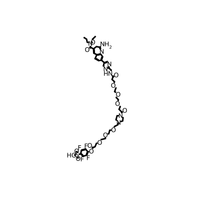 CCCN(OCC)C(=O)C1=Cc2ccc(-c3cnc(CNC(=O)CCOCCOCCOCCC(=O)N4CCN(CCOCCOCCOCCC(=O)Oc5c(F)c(F)c(S(=O)(=O)O)c(F)c5F)CC4)nc3)cc2N=C(N)C1